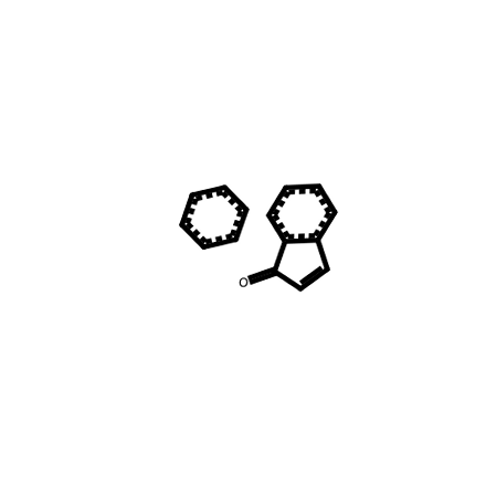 O=C1C=Cc2ccccc21.c1ccccc1